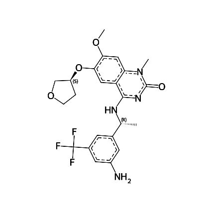 COc1cc2c(cc1O[C@H]1CCOC1)c(N[C@H](C)c1cc(N)cc(C(F)(F)F)c1)nc(=O)n2C